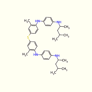 Cc1cc(Sc2ccc(Nc3ccc(NC(C)CC(C)C)cc3)c(C)c2)ccc1Nc1ccc(NC(C)CC(C)C)cc1